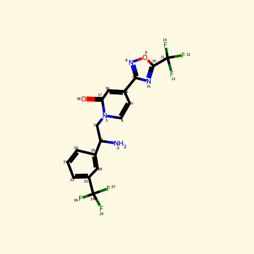 NC(Cn1ccc(-c2noc(C(F)(F)F)n2)cc1=O)c1cccc(C(F)(F)F)c1